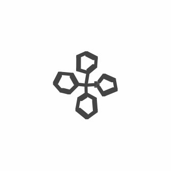 c1ccc(C(c2ccccc2)(c2ccccc2)n2cccc2)cc1